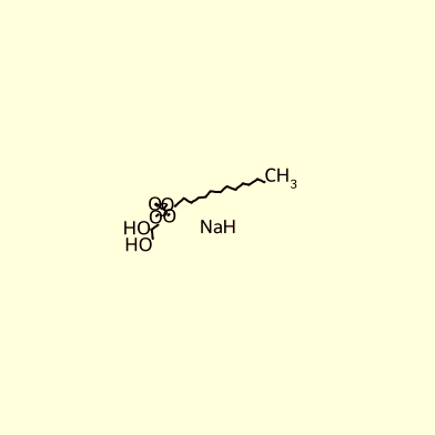 CCCCCCCCCCCCCCOS(=O)(=O)OCC(O)CO.[NaH]